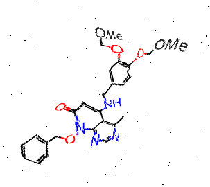 COCOc1ccc(CNc2cc(=O)n(OCc3ccccc3)c3ncnc(C)c23)cc1OCOC